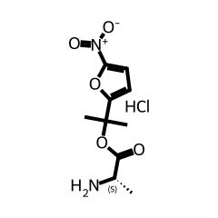 C[C@H](N)C(=O)OC(C)(C)c1ccc([N+](=O)[O-])o1.Cl